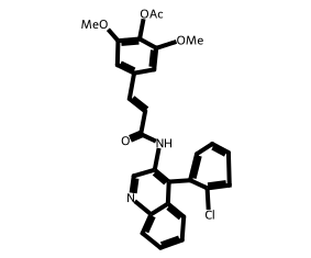 COc1cc(C=CC(=O)Nc2cnc3ccccc3c2-c2ccccc2Cl)cc(OC)c1OC(C)=O